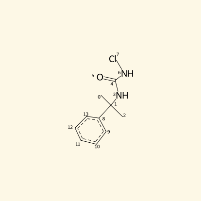 CC(C)(NC(=O)NCl)c1ccccc1